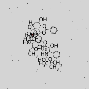 CCC(=O)[C@H](O)C1=C(C)[C@@H](OC(=O)[C@H](O)[C@@H](NC(O)OC(C)(C)C)c2ccccc2)C[C@@](O)([C@@H](OC(=O)c2ccccc2)[C@H]2C[C@@H](O)C[C@H]3OC[C@@]23OC(C)=O)C1(C)C